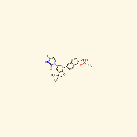 CC1(C)COc2c(-c3ccc4cc(NS(C)(=O)=O)ccc4c3)cc(-n3ccc(=O)[nH]c3=O)cc21